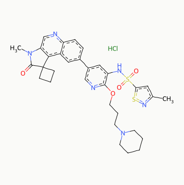 Cc1cc(S(=O)(=O)Nc2cc(-c3ccc4ncc5c(c4c3)C3(CCC3)C(=O)N5C)cnc2OCCCN2CCCCC2)sn1.Cl